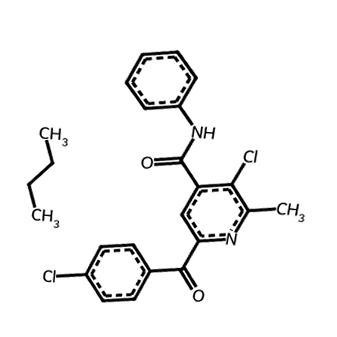 CCCC.Cc1nc(C(=O)c2ccc(Cl)cc2)cc(C(=O)Nc2ccccc2)c1Cl